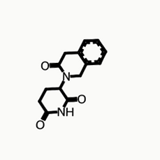 O=C1CCC(N2Cc3ccccc3CC2=O)C(=O)N1